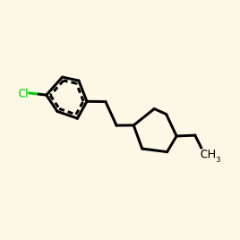 CCC1CCC(CCc2ccc(Cl)cc2)CC1